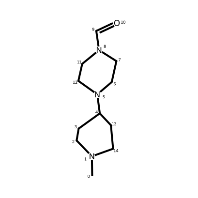 CN1CCC(N2CCN(C=O)CC2)CC1